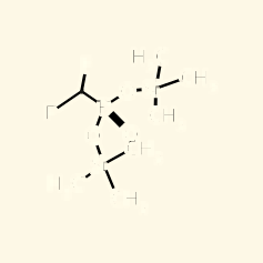 C[Si](C)(C)OP(=O)(O[Si](C)(C)C)C(F)F